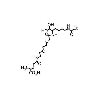 CCC(=O)NCCCCC(NC(=O)COCCOCCNC(=O)CCC(C)C(=O)O)C(O)O